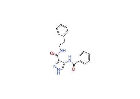 O=C(Nc1c[nH]nc1C(=O)NCCc1ccccc1)c1ccccc1